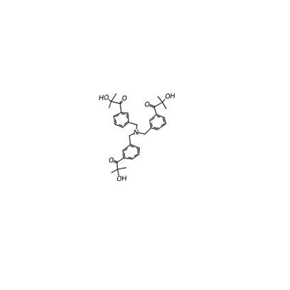 CC(C)(O)C(=O)c1cccc(CN(Cc2cccc(C(=O)C(C)(C)O)c2)Cc2cccc(C(=O)C(C)(C)O)c2)c1